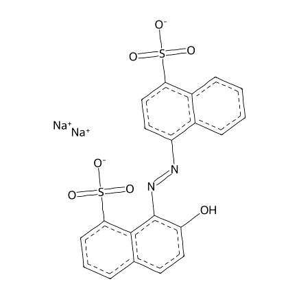 O=S(=O)([O-])c1ccc(N=Nc2c(O)ccc3cccc(S(=O)(=O)[O-])c23)c2ccccc12.[Na+].[Na+]